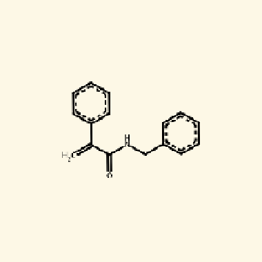 C=C(C(=O)NCc1ccccc1)c1ccccc1